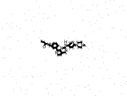 C=CC(=O)NCc1cccc(-c2nccc3cnc(Nc4ccc(N5CCN(C)CC5)nc4)nc23)c1